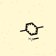 CN.Cc1ccc(I)cc1